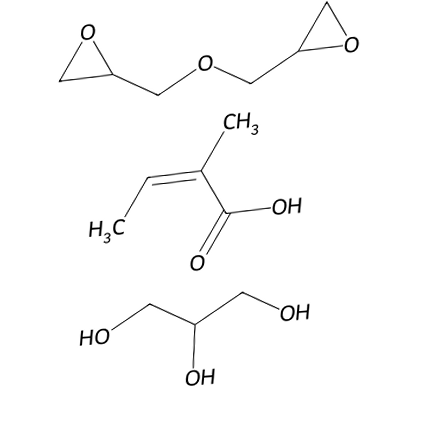 C(OCC1CO1)C1CO1.CC=C(C)C(=O)O.OCC(O)CO